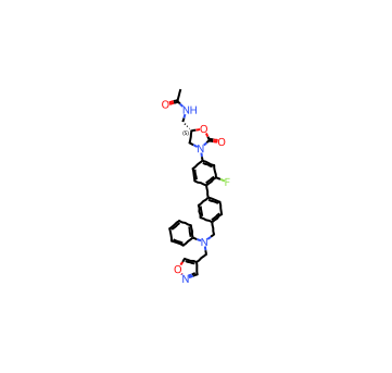 CC(=O)NC[C@H]1CN(c2ccc(-c3ccc(CN(Cc4cnoc4)c4ccccc4)cc3)c(F)c2)C(=O)O1